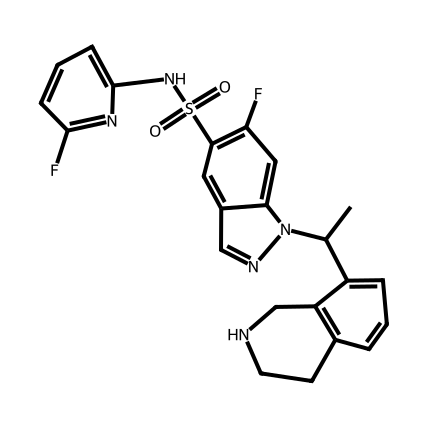 CC(c1cccc2c1CNCC2)n1ncc2cc(S(=O)(=O)Nc3cccc(F)n3)c(F)cc21